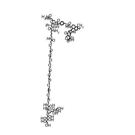 CC[C@@]1(O)C(=O)OCc2c1cc1n(c2=O)Cc2c-1nc1cc(F)c(C)c3c1c2[C@@H](NC(=O)OCc1ccc(NC(=O)[C@H](CCCNC(N)=O)NC(=O)[C@@H](NC(=O)[C@@H](N)CCCCNC(=O)CCOCCOCCOCCOCCOCCOCCOCCOCCOCCOCCOCCOCCNC(=O)NCCN(C[C@H](O)[C@@H](O)[C@H](O)[C@H](O)CO)C[C@H](O)[C@@H](O)[C@H](O)[C@H](O)CO)C(C)C)cc1)CC3